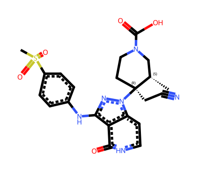 C[C@H]1CN(C(=O)O)CC[C@]1(CC#N)n1nc(Nc2ccc(S(C)(=O)=O)cc2)c2c(=O)[nH]ccc21